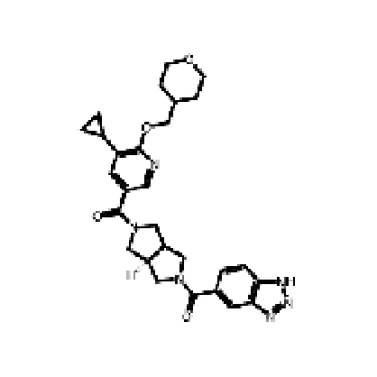 O=C(c1cnc(OCC2CCOCC2)c(C2CC2)c1)N1CC2CN(C(=O)c3ccc4[nH]nnc4c3)C[C@H]2C1